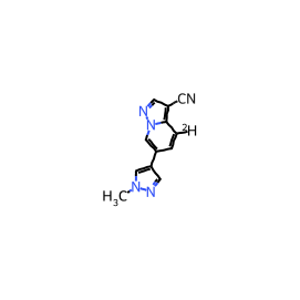 [2H]c1cc(-c2cnn(C)c2)cn2ncc(C#N)c12